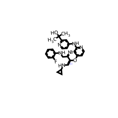 CC(C)(O)c1cc(Nc2cc(O/C(=C/NC3CC3)C(=N)CNc3ccccc3F)ccn2)ccn1